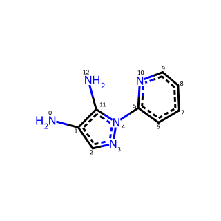 Nc1cnn(-c2ccccn2)c1N